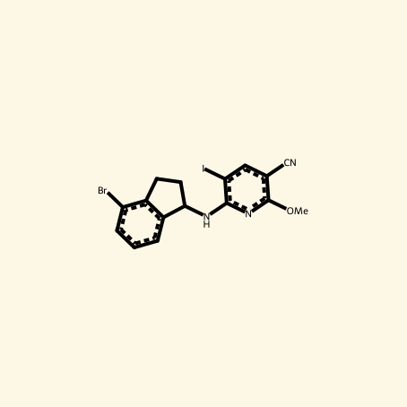 COc1nc(NC2CCc3c(Br)cccc32)c(I)cc1C#N